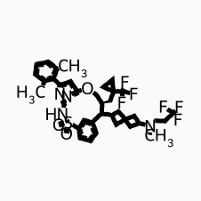 Cc1cccc(C)c1-c1cc2nc(n1)NS(=O)(=O)c1cccc(c1)C(C1CC3(C1)CC(N(C)CCC(F)(F)F)C3)[C@H](CC1(C(F)(F)F)CC1)CO2